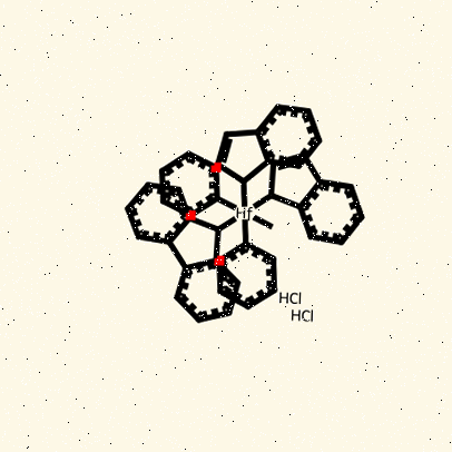 Cl.Cl.[CH3][Hf]([c]1ccccc1)([c]1ccccc1)([CH]1C=Cc2ccccc21)([CH]1C=Cc2ccccc21)[CH]1c2ccccc2-c2ccccc21